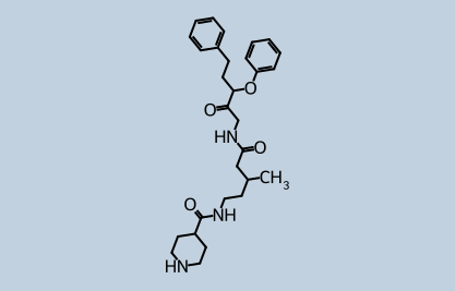 CC(CCNC(=O)C1CCNCC1)CC(=O)NCC(=O)C(CCc1ccccc1)Oc1ccccc1